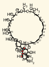 C[C@H]1C[C@H](O)[C@@H](C)/C=C/C=C/C=C/C=C/C=C/C=C/C=C/C(O[C@@H]2OC[C@@H](O)[C@H](N)[C@@H]2O)C[C@@H]2OC(O)(CC(O)CC(O)C(O)CCC(O)CC(O)CC(=O)O1)C[C@H](O)C2C(=O)N[C@H]1CC[C@H](N)CC1